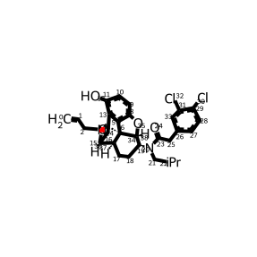 C=CCN1CC[C@@]23c4c5ccc(O)c4C[C@@H]1[C@@H]2CC[C@@H](N(CC(C)C)C(=O)Cc1ccc(Cl)c(Cl)c1)[C@@H]3O5